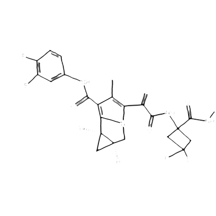 CNC(=O)C1(NC(=O)C(=O)c2c(C)c(C(=O)Nc3ccc(F)c(F)c3)c3n2C[C@H]2C[C@@H]32)CC(F)(F)C1